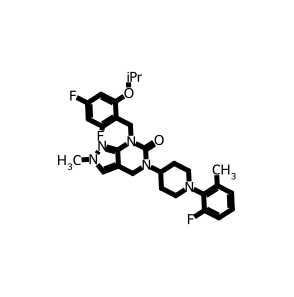 Cc1cccc(F)c1N1CCC(N2Cc3cn(C)nc3N(Cc3c(F)cc(F)cc3OC(C)C)C2=O)CC1